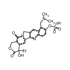 CCCS(=O)(=O)Oc1ccc2nc3c(cc2c1CN(C)C)Cn1c-3cc2c(c1=O)COC(=O)C2(O)CC